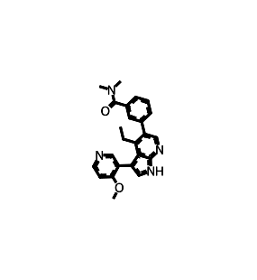 CCc1c(-c2cccc(C(=O)N(C)C)c2)cnc2[nH]cc(-c3cnccc3OC)c12